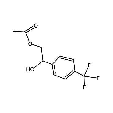 CC(=O)OCC(O)c1ccc(C(F)(F)F)cc1